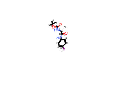 C[C@@H](NC(=O)OC(C)(C)C)C(=O)Nc1ccc(I)cc1